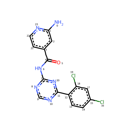 Nc1cc(C(=O)Nc2ncnc(-c3ccc(Cl)cc3Cl)n2)ccn1